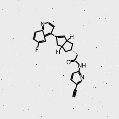 C#Cc1ccc(NC(=O)C[C@@H]2C[C@@H]3CC(c4ccnc5ccc(F)cc45)=C[C@@H]3C2)nc1